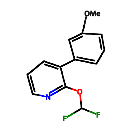 COc1cccc(-c2cccnc2OC(F)F)c1